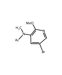 COc1ncc(Br)cc1N(C)C(C)=O